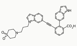 O=C(O)c1cccc(C#Cc2ccc3ccn(CCCN4CCS(=O)(=O)CC4)c3c2)c1-c1ccc2cc[nH]c2c1